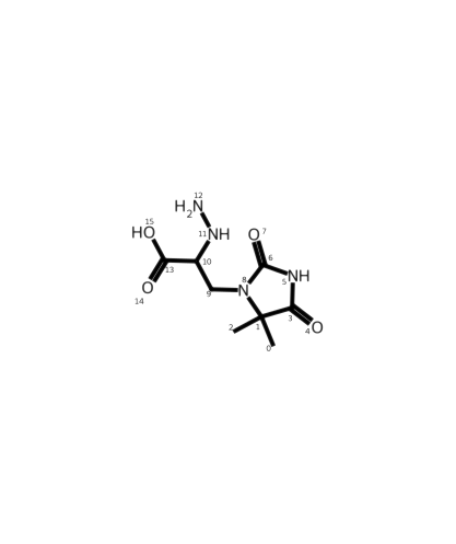 CC1(C)C(=O)NC(=O)N1CC(NN)C(=O)O